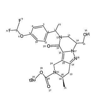 CC(c1ccc(OC(F)F)cc1)N1CC(CO)n2nc3c(c2C1=O)CN(C(=O)OC(C)(C)C)[C@H](C)C3